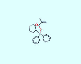 C=C(C)C(=O)OC1(C2CCCCC2)c2ccccc2-c2ccccc21